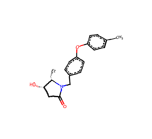 CC[C@H]1[C@@H](O)CC(=O)N1Cc1ccc(Oc2ccc(C)cc2)cc1